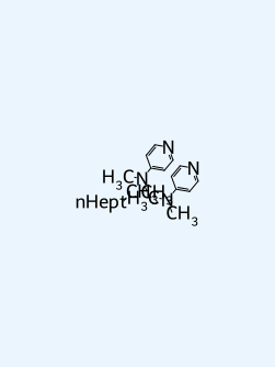 CCCCCCCC.CN(C)c1ccncc1.CN(C)c1ccncc1